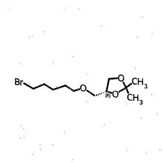 CC1(C)OC[C@@H](COCCCCCBr)O1